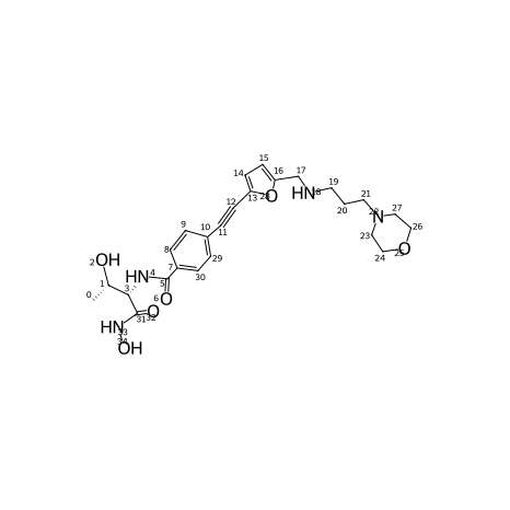 C[C@H](O)[C@H](NC(=O)c1ccc(C#Cc2ccc(CNCCCN3CCOCC3)o2)cc1)C(=O)NO